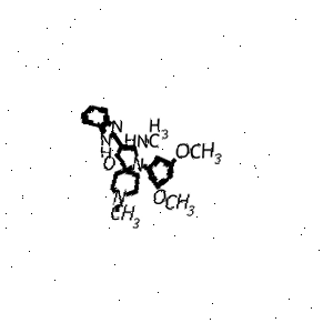 CNC1=C(c2nc3ccccc3[nH]2)C(=O)C2(CCN(C)CC2)N1c1cc(OC)cc(OC)c1